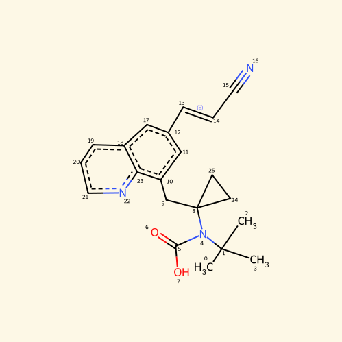 CC(C)(C)N(C(=O)O)C1(Cc2cc(/C=C/C#N)cc3cccnc23)CC1